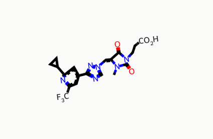 CN1C(=O)N(CCC(=O)O)C(=O)/C1=C/n1cnc(-c2cc(C3CC3)nc(C(F)(F)F)c2)n1